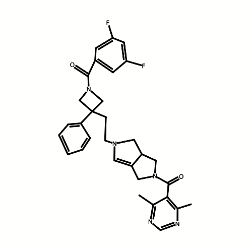 Cc1ncnc(C)c1C(=O)N1CC2=CN(CCC3(c4ccccc4)CN(C(=O)c4cc(F)cc(F)c4)C3)CC2C1